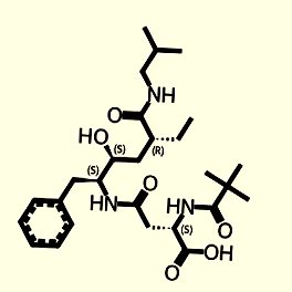 CC[C@H](C[C@H](O)[C@H](Cc1ccccc1)NC(=O)C[C@H](NC(=O)C(C)(C)C)C(=O)O)C(=O)NCC(C)C